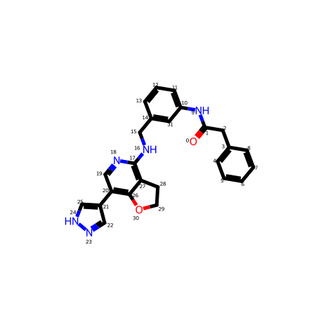 O=C(Cc1ccccc1)Nc1cccc(CNc2ncc(-c3cn[nH]c3)c3c2CCO3)c1